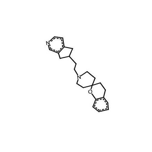 c1ccc2c(c1)CCC1(CCN(CCC3Cc4ccncc4C3)CC1)O2